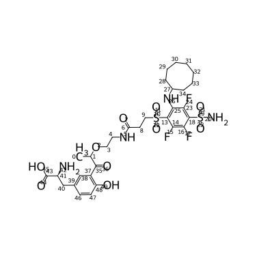 CC(OCCNC(=O)CCS(=O)(=O)c1c(F)c(F)c(S(N)(=O)=O)c(F)c1NC1CCCCCCC1)C(=O)c1cc(C[C@H](N)C(=O)O)ccc1O